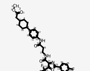 COC(=O)CC1CCC(c2ccc(NC(=O)CCNC(=O)c3nc(-c4ccc(F)cc4)oc3C(F)(F)F)cc2)CC1